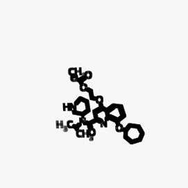 COC(=O)OCCOc1cc(C(=O)N(C(C)C)[C@@H]2CCCNC2)nc2c(OC3CCCCCC3)cccc12